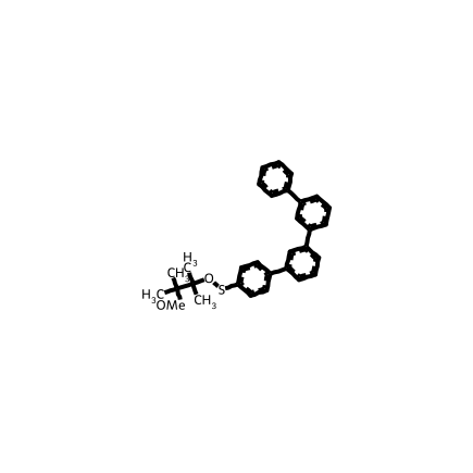 COC(C)(C)C(C)(C)OSc1ccc(-c2cccc(-c3cccc(-c4ccccc4)c3)c2)cc1